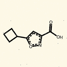 O=C(O)c1cc(C2CCC2)on1